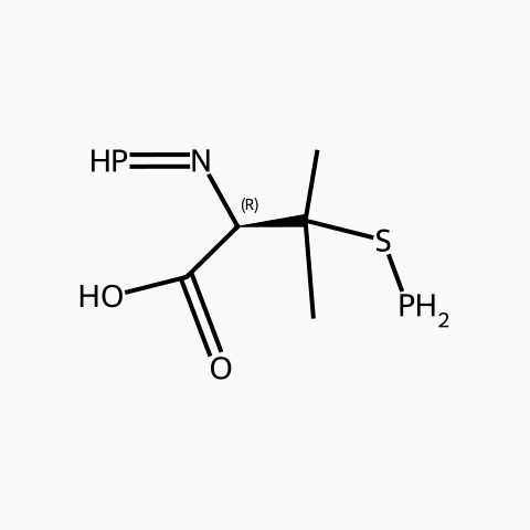 CC(C)(SP)[C@H](N=P)C(=O)O